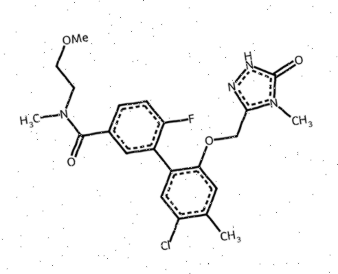 COCCN(C)C(=O)c1ccc(F)c(-c2cc(Cl)c(C)cc2OCc2n[nH]c(=O)n2C)c1